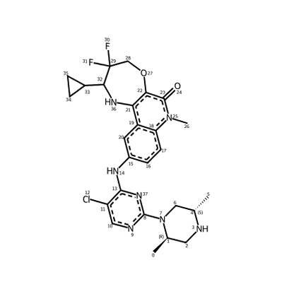 C[C@@H]1CN[C@@H](C)CN1c1ncc(Cl)c(Nc2ccc3c(c2)c2c(c(=O)n3C)OCC(F)(F)C(C3CC3)N2)n1